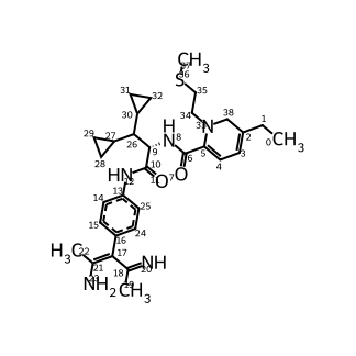 CCC1=CC=C(C(=O)N[C@H](C(=O)Nc2ccc(/C(C(C)=N)=C(\C)N)cc2)C(C2CC2)C2CC2)N(CCSC)C1